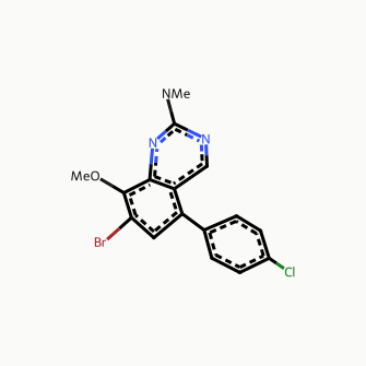 CNc1ncc2c(-c3ccc(Cl)cc3)cc(Br)c(OC)c2n1